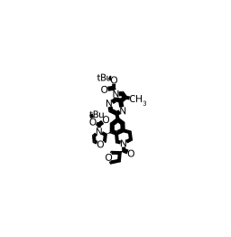 Cc1cn(C(=O)OC(C)(C)C)c2ncc(-c3cc4c(c([C@@H]5COCCN5C(=O)OC(C)(C)C)c3)CN(C(=O)[C@H]3CCOC3)CC4)nc12